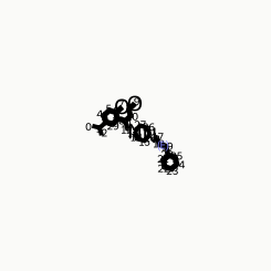 CC(C)c1ccc2oc(=O)cc(CN3CCN(C/C=C/c4ccccc4)CC3)c2c1